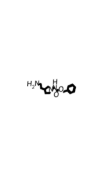 NCCC1CCN(NC(=O)OCc2ccccc2)C1